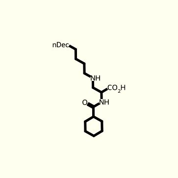 CCCCCCCCCCCCCCNCC(NC(=O)C1CCCCC1)C(=O)O